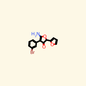 NC1=C(c2cccc(Br)c2)C(=O)C(c2ccco2)O1